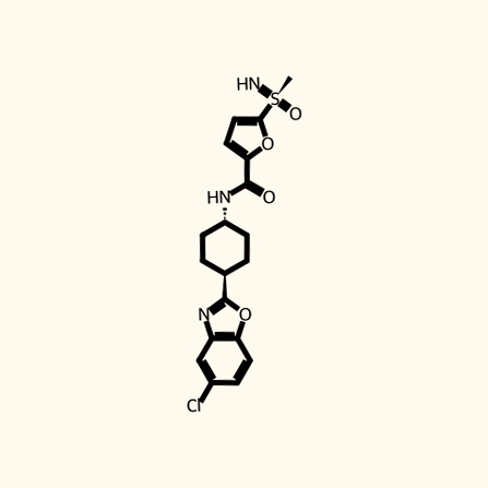 C[S@@](=N)(=O)c1ccc(C(=O)N[C@H]2CC[C@H](c3nc4cc(Cl)ccc4o3)CC2)o1